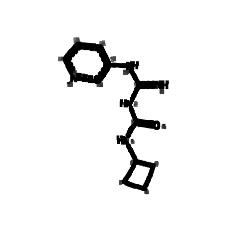 N=C(NC(=O)NC1CCC1)Nc1cccnc1